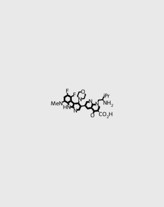 CNc1cc(F)c(F)c2c1[nH]c1ncc(-c3cnc4c(c3)c(=O)c(C(=O)O)cn4CC(N)C(C)C)c(N3CCOCC3)c12